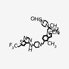 Cc1c(CN2CCC(Nc3ncnc4sc(CC(F)(F)F)cc34)CC2)ccc2c1cc(C#N)n2C[C@](C)([SiH3])N1CCN(C=O)CC1